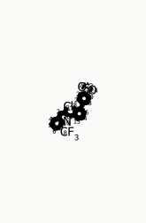 Cc1cc2cccc(C(F)(F)F)c2nc1-c1cccc(-c2ccc(S(C)(=O)=O)cc2)c1Cl